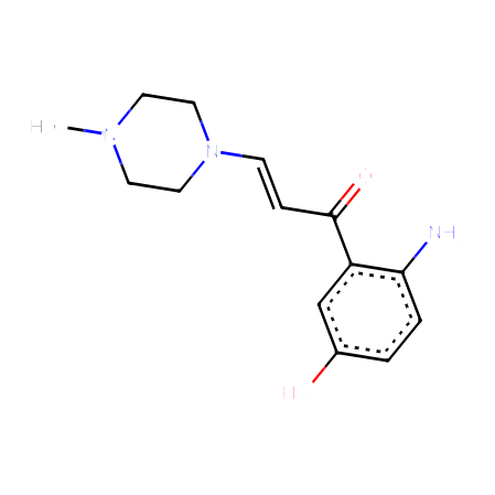 CN1CCN(C=CC(=O)c2cc(O)ccc2N)CC1